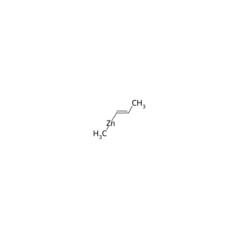 CC=[CH][Zn][CH3]